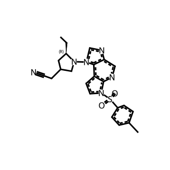 CC[C@@H]1CC(CC#N)CN1n1cnc2cnc3c(ccn3S(=O)(=O)c3ccc(C)cc3)c21